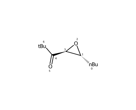 CCCC[C@H]1O[C@@H]1C(=O)C(C)(C)C